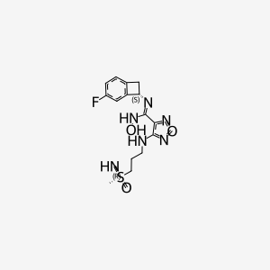 C[S@@](=N)(=O)CCCNc1nonc1C(=N[C@H]1Cc2ccc(F)cc21)NO